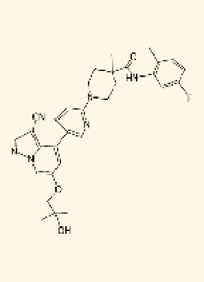 Cc1ccc(F)cc1NC(=O)C1(C)CCN(c2ccc(-c3cc(OCC(C)(C)O)cn4ncc(C#N)c34)cn2)CC1